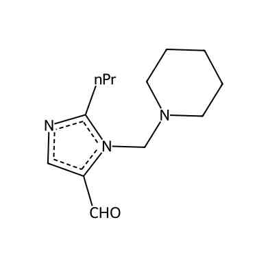 CCCc1ncc(C=O)n1CN1CCCCC1